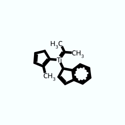 CC1=[C]([Ti](=[C](C)C)[CH]2C=Cc3ccccc32)CC=C1